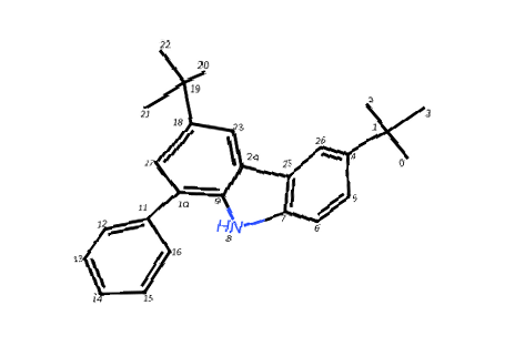 CC(C)(C)c1ccc2[nH]c3c(-c4cc[c]cc4)cc(C(C)(C)C)cc3c2c1